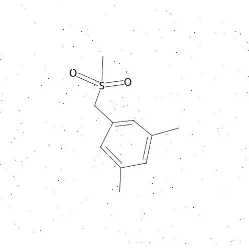 Cc1cc(C)cc(CS(C)(=O)=O)c1